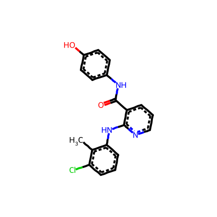 Cc1c(Cl)cccc1Nc1ncccc1C(=O)Nc1ccc(O)cc1